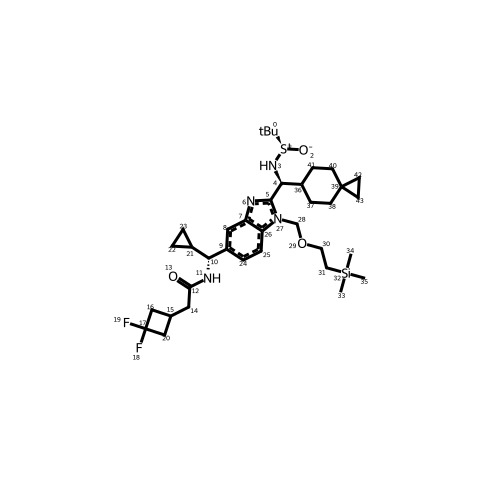 CC(C)(C)[S@@+]([O-])N[C@H](c1nc2cc([C@H](NC(=O)CC3CC(F)(F)C3)C3CC3)ccc2n1COCC[Si](C)(C)C)C1CCC2(CC1)CC2